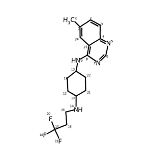 Cc1ccc2ncnc(NC3CCC(NCCC(F)(F)F)CC3)c2c1